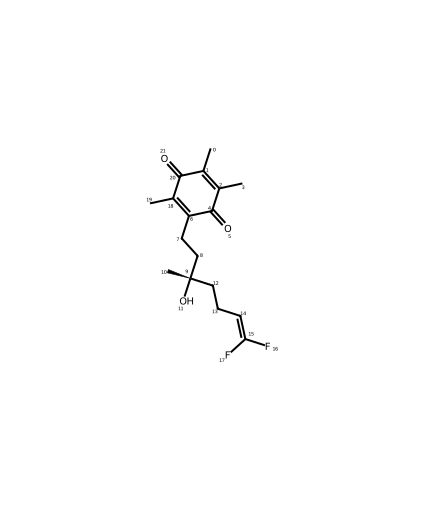 CC1=C(C)C(=O)C(CC[C@@](C)(O)CCC=C(F)F)=C(C)C1=O